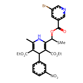 CCOC(=O)C1=C(C)NC(C(OC(=O)c2cncc(Br)c2)SC)=C(C(=O)OCC)C1c1cccc([N+](=O)[O-])c1